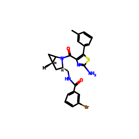 Cc1cccc(-c2sc(N)nc2C(=O)N2C3C[C@H]3C[C@H]2CNC(=O)c2cccc(Br)c2)c1